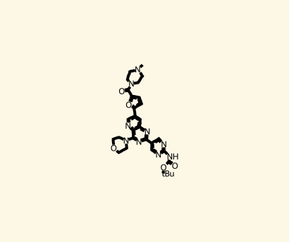 CN1CCN(C(=O)c2ccc(-c3cnc4c(N5CCOCC5)nc(-c5cnc(NC(=O)OC(C)(C)C)nc5)nc4c3)o2)CC1